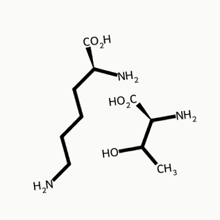 CC(O)[C@H](N)C(=O)O.NCCCC[C@H](N)C(=O)O